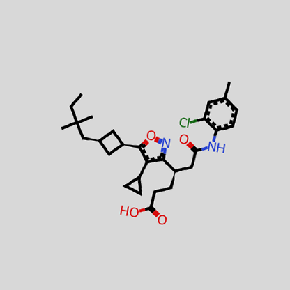 CCC(C)(C)C[C@H]1C[C@@H](c2onc([C@H](CCC(=O)O)CC(=O)Nc3ccc(C)cc3Cl)c2C2CC2)C1